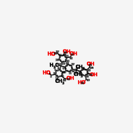 Cc1c(CO)cc(C(C)(c2ccc(C(C)(C)c3cc(CO)c(O)c(CO)c3)cc2)c2cc(CO)c(O)c(CO)c2)cc1CO